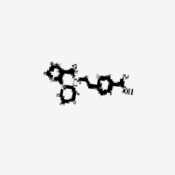 O=C(O)c1ccc(CCNC(=O)c2cccnc2N2CCCCC2)cc1